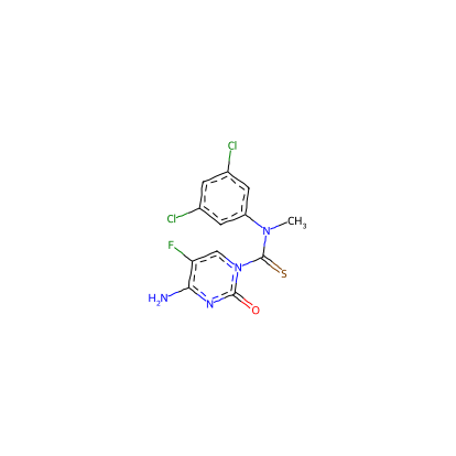 CN(C(=S)n1cc(F)c(N)nc1=O)c1cc(Cl)cc(Cl)c1